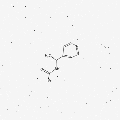 CC(C)C(=O)NC(C)c1ccncc1